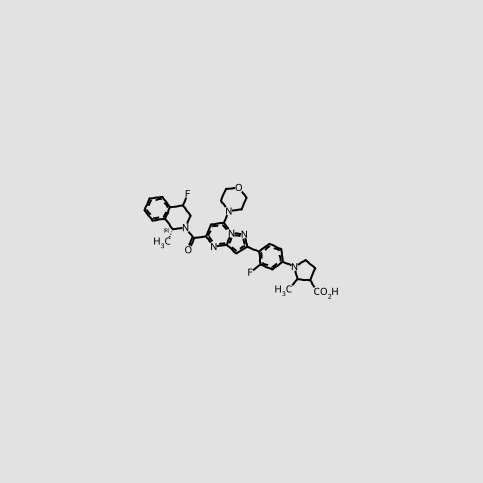 CC1C(C(=O)O)CCN1c1ccc(-c2cc3nc(C(=O)N4CC(F)c5ccccc5[C@H]4C)cc(N4CCOCC4)n3n2)c(F)c1